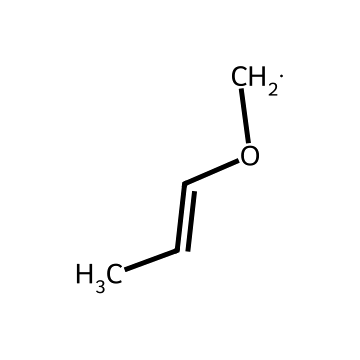 [CH2]OC=CC